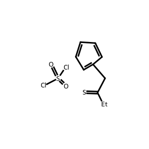 CCC(=S)Cc1ccccc1.O=S(=O)(Cl)Cl